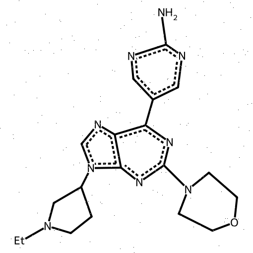 CCN1CCC(n2cnc3c(-c4cnc(N)nc4)nc(N4CCOCC4)nc32)C1